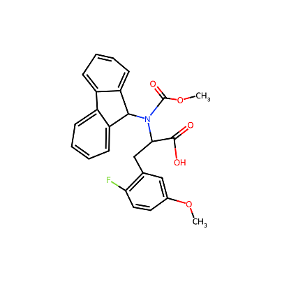 COC(=O)N(C(Cc1cc(OC)ccc1F)C(=O)O)C1c2ccccc2-c2ccccc21